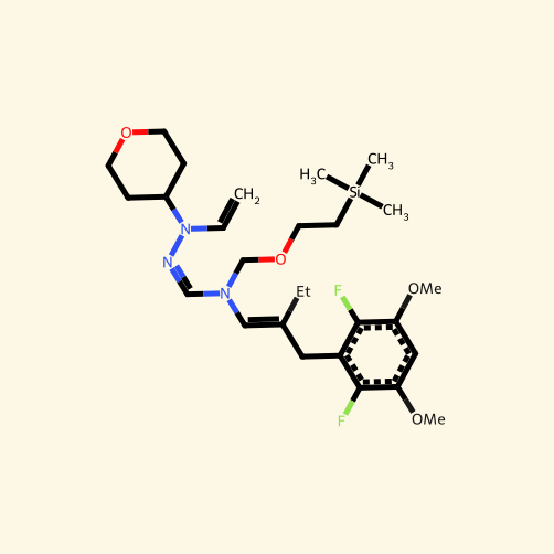 C=CN(/N=C\N(/C=C(\CC)Cc1c(F)c(OC)cc(OC)c1F)COCC[Si](C)(C)C)C1CCOCC1